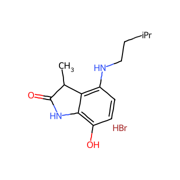 Br.CC(C)CCNc1ccc(O)c2c1C(C)C(=O)N2